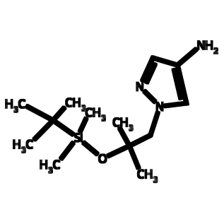 CC(C)(Cn1cc(N)cn1)O[Si](C)(C)C(C)(C)C